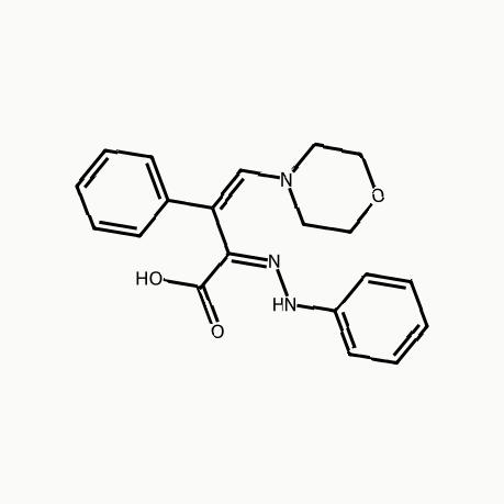 O=C(O)C(=NNc1ccccc1)C(=CN1CCOCC1)c1ccccc1